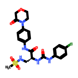 CS(=O)(=O)NC[C@@H](NC(=O)Nc1ccc(Cl)cc1)C(=O)Nc1ccc(N2CCOCC2=O)cc1